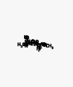 CN1CCN(Cc2cc(NC(=O)c3cccc(Oc4nc(-c5cccnc5)nc5c4cnn5C)c3)cc(C(F)(F)F)c2)CC1